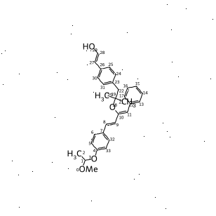 COC(C)Oc1ccc(C=CC(=Cc2ccccc2)OC(C)(C)Cc2ccc(C=CO)cc2)cc1